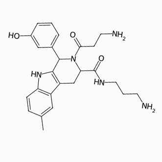 Cc1ccc2[nH]c3c(c2c1)CC(C(=O)NCCCN)N(C(=O)CCN)C3c1cccc(O)c1